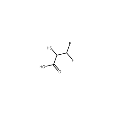 O=C(O)C(S)C(F)F